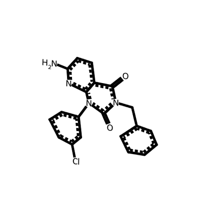 Nc1ccc2c(=O)n(Cc3ccccc3)c(=O)n(-c3cccc(Cl)c3)c2n1